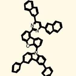 c1ccc(-c2ccc3c(c2)c2cc(-c4ccccc4)ccc2n3-c2cccc3c2oc2cccc(-c4nc(-c5ccc6ccccc6c5)cc(-c5ccc6ccccc6c5)n4)c23)cc1